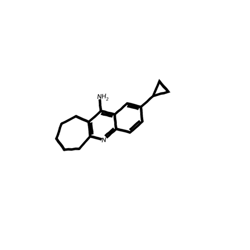 Nc1c2c(nc3ccc(C4CC4)cc13)CCCCC2